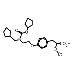 CCOC(Cc1ccc(OCCN(CC2CCCC2)C(=O)OC2CCCC2)cc1)C(=O)O